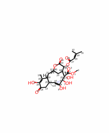 COC(=O)[C@@]1(O)[C@@H](O)/C(O)=C/[C@@]2(C)CC(=O)C(O)=C(C)[C@@H]2C[C@@H]2C[C@H]1[C@@H](OC(=O)C=C(C)C)C(=O)O2